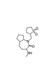 CNC1CCC2CCCC2N(CC2CCCS2(=O)=O)C1=O